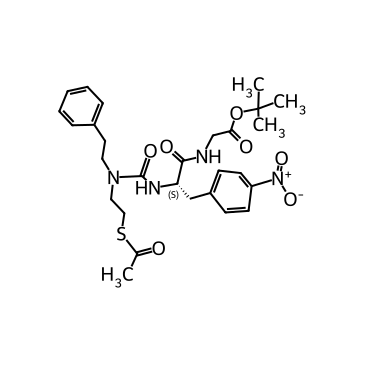 CC(=O)SCCN(CCc1ccccc1)C(=O)N[C@@H](Cc1ccc([N+](=O)[O-])cc1)C(=O)NCC(=O)OC(C)(C)C